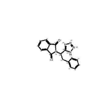 O=C1c2ccccc2C(=O)N1C(Cc1ccccc1)c1nnn[nH]1